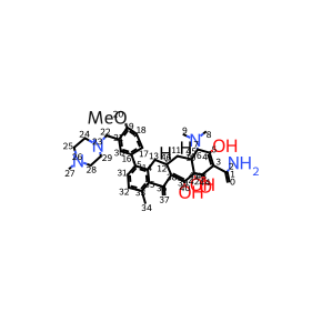 C=C(N)C1=C(O)[C@@H](N(C)C)[C@@H]2C[C@@H]3Cc4c(-c5ccc(OC)c(CN6CCN(C)CC6)c5)ccc(C)c4C(=C)C3=C(O)[C@]2(O)C1=O